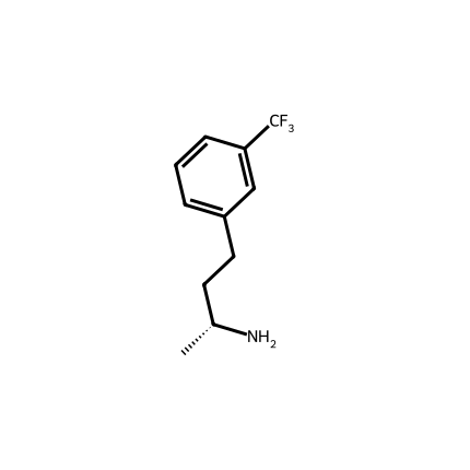 C[C@@H](N)CCc1cccc(C(F)(F)F)c1